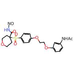 CC(=O)Nc1cccc(OCCOc2ccc(S(=O)(=O)C3(C(=O)NN=O)CCOCC3)cc2)c1